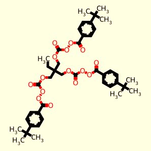 CCC(COC(=O)OOC(=O)c1ccc(C(C)(C)C)cc1)(COC(=O)OOC(=O)c1ccc(C(C)(C)C)cc1)COC(=O)OOC(=O)c1ccc(C(C)(C)C)cc1